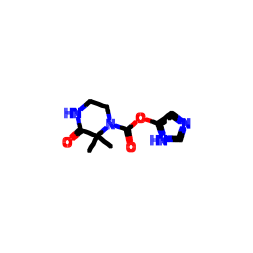 CC1(C)C(=O)NCCN1C(=O)Oc1cnc[nH]1